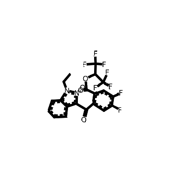 CCn1c2ccccc2c(C(=O)c2cc(F)c(F)cc2C(=O)OC(C(F)(F)F)C(F)(F)F)[n+]1[O-]